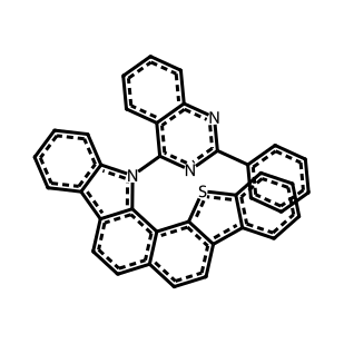 c1ccc(-c2nc(-n3c4ccccc4c4ccc5ccc6c7ccccc7sc6c5c43)c3ccccc3n2)cc1